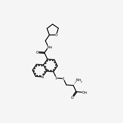 N[C@@H](CSSc1ccc(C(=O)NCC2CCCO2)c2cccnc12)C(=O)O